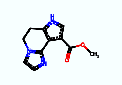 COC(=O)c1c[nH]c2c1-c1nccn1CC2